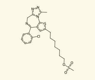 Cc1nnc2n1-c1sc(CCCCCCCOS(C)(=O)=O)cc1C(c1ccccc1Cl)=NC2